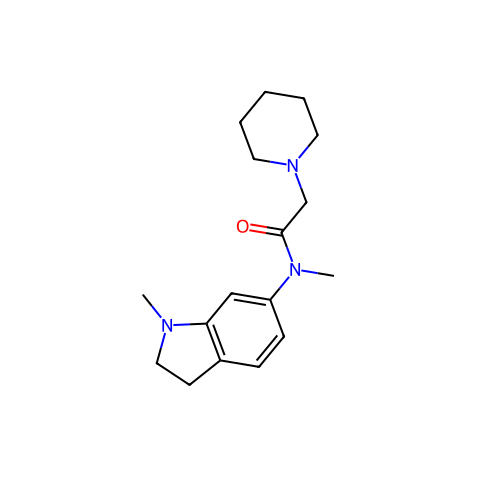 CN1CCc2ccc(N(C)C(=O)CN3CCCCC3)cc21